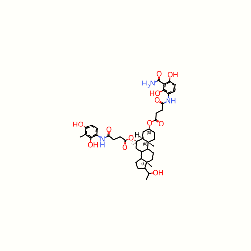 Cc1c(O)ccc(NC(=O)CCC(=O)O[C@H]2CC3C4CCC(C(C)O)[C@@]4(C)CCC3[C@@]3(C)CC[C@H](OC(=O)CCC(=O)Nc4ccc(O)c(C(N)=O)c4O)C[C@H]23)c1O